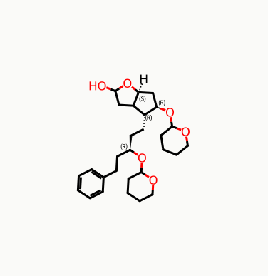 OC1CC2[C@H](C[C@@H](OC3CCCCO3)[C@@H]2CC[C@H](CCc2ccccc2)OC2CCCCO2)O1